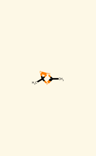 CC1=PC2(C)P=[PH]12